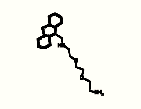 NCCOCCOCCNCc1c2ccccc2cc2ccccc12